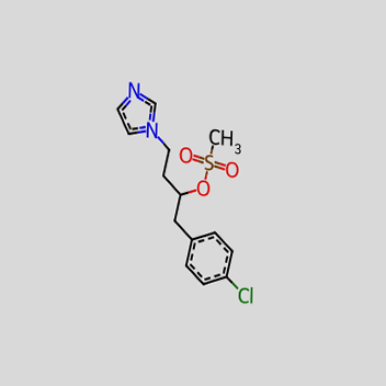 CS(=O)(=O)OC(CCn1ccnc1)Cc1ccc(Cl)cc1